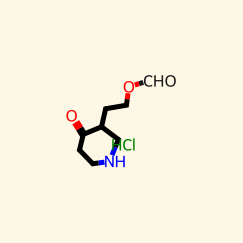 Cl.O=COCCC1CNCCC1=O